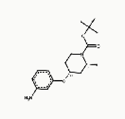 C[C@H]1C[C@H](Oc2cccc(N)c2)CCN1C(=O)OC(C)(C)C